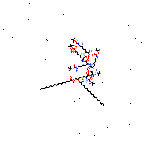 CCCCCCCCCCCCCCCC(=O)OCC(CSC[C@H](NC(=O)OC(C)(C)C)C(=O)N[C@@H](COC(C)(C)C)C(=O)N[C@@H](CCCCNC(=O)OC(C)(C)C)C(=O)N[C@@H](CCCCNC(=O)OC(C)(C)C)C(=O)N[C@@H](CCCCNC(=O)OC(C)(C)C)C(=O)N[C@@H](CCCCNC(=O)OC(C)(C)C)C(=O)O)OC(=O)CCCCCCCCCCCCCCC